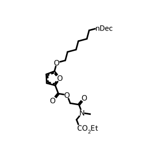 CCCCCCCCCCCCCCCCOc1ccc(C(=O)OCC(=O)N(C)CC(=O)OCC)o1